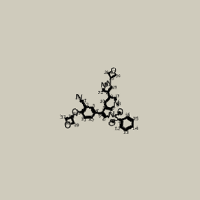 N#Cc1cc(-c2cn(S(=O)(=O)c3ccccc3)c3ncc(-c4cnn(C5COC5)c4)cc23)ccc1OC1COC1